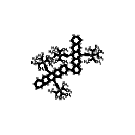 CC(C)[Si](C#Cc1c2cc3ccccc3cc2c(C#C[Si](C(C)C)(C(C)C)C(C)C)c2cc3cc(-c4cccc5cc6c(C#C[Si](C(C)C)(C(C)C)C(C)C)c7cc8ccccc8cc7c(C#C[Si](C(C)C)(C(C)C)C(C)C)c6cc45)ccc3cc12)(C(C)C)C(C)C